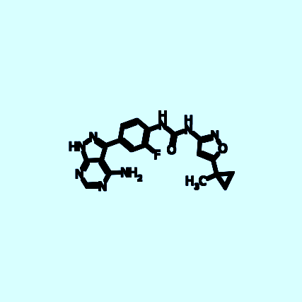 CC1(c2cc(NC(=O)Nc3ccc(-c4n[nH]c5ncnc(N)c45)cc3F)no2)CC1